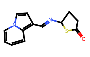 O=C1CCC(N=Cc2ccn3ccccc23)S1